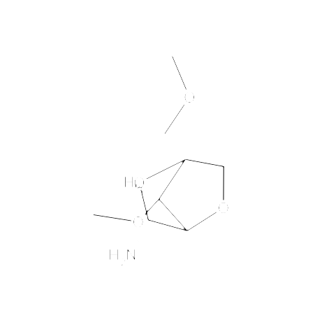 COC[C@@]12COC([C@H](N)O1)[C@H]2OC